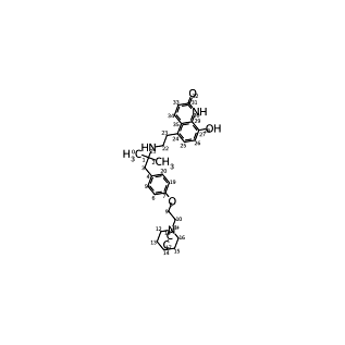 CC(C)(Cc1ccc(OCC[N+]23CCC(CC2)CC3)cc1)NCCc1ccc(O)c2[nH]c(=O)ccc12